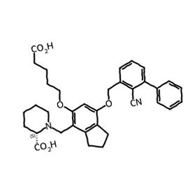 N#Cc1c(COc2cc(OCCCCC(=O)O)c(CN3CCCC[C@H]3C(=O)O)c3c2CCC3)cccc1-c1ccccc1